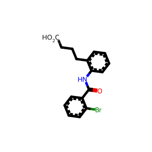 O=C(O)CCCc1ccccc1NC(=O)c1ccccc1Br